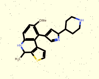 COc1ccc2c(c1C1=CC(C3CCNCC3)N=C1)-c1ccsc1C(C)N2